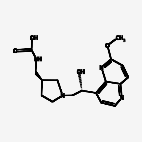 COc1ccc2nccc([C@@H](O)CN3CC[C@@H](CNC(=O)O)C3)c2n1